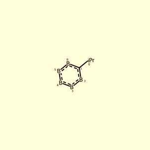 CC(C)c1bbbbb1